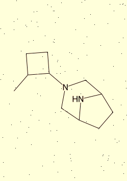 CC1CCC1N1CC2CCC(C1)N2